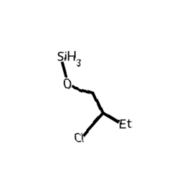 CCC(Cl)CO[SiH3]